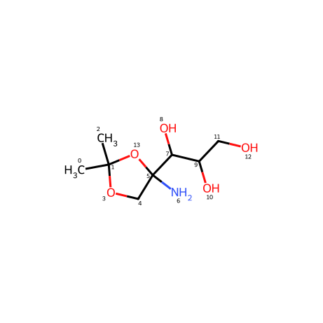 CC1(C)OCC(N)(C(O)C(O)CO)O1